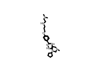 CN(C)CCNCCCOc1ccc(C2=NNC3=C(CN(C)CN3C3CCCC3)N2)cc1